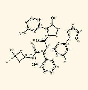 N#Cc1ccnc(N2C(=O)CC[C@H]2C(=O)N(c2cc(F)cc(-c3cnco3)c2)[C@H](C(=O)NC2CC(F)(F)C2)c2ccccc2Cl)c1